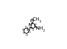 COc1cc(N)cc(N2CCCCC2)n1